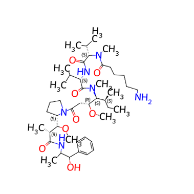 CC[C@H](C)[C@@H]([C@@H](CC(=O)N1CCC[C@H]1C(OC)[C@@H](C)C(=O)NC(C)C(O)c1ccccc1)OC)N(C)C(=O)[C@@H](NC(=O)[C@H](C(C)C)N(C)C(=O)CCCCCN)C(C)C